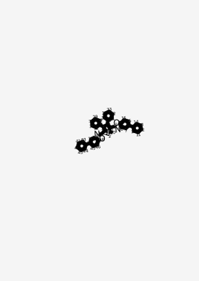 C[Si]1(C)C(c2nc3cc(-c4ccccc4)ccc3o2)=C(c2ccccc2)C(c2ccccc2)=C1c1nc2cc(-c3ccccc3)ccc2o1